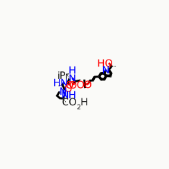 CC(C)[C@H](NC(=O)COC(C)(C)OC/C=C/c1ccc2ccc([C@@H](C)O)nc2c1)C(=O)N[C@@H](C)C(=O)N1CCC[C@@H](C(=O)O)N1